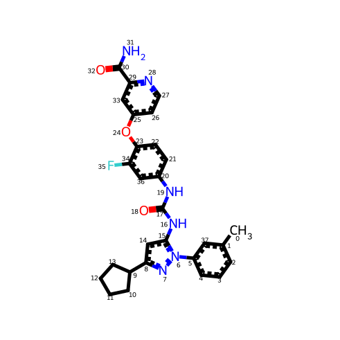 Cc1cccc(-n2nc(C3CCCC3)cc2NC(=O)Nc2ccc(Oc3ccnc(C(N)=O)c3)c(F)c2)c1